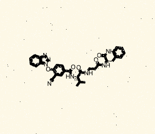 CC(C)[C@H](NC(=O)c1ccc(On2nnc3ccccc32)c(C#N)c1)C(=O)NCCC(=O)N[C@@H](Cc1ccccc1)C(N)=O